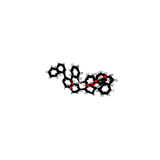 c1ccc(-c2cccc3ccccc23)c(-c2ccccc2N(c2ccc(-c3cccc4ccccc34)cc2)c2ccccc2-c2ccc3oc4ccccc4c3c2)c1